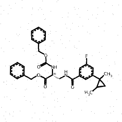 CC1CC1(C)c1cc(F)cc(C(=O)NC[C@@H](NC(=O)OCc2ccccc2)C(=O)OCc2ccccc2)c1